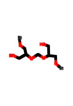 CCOCC(CO)OCOC(CO)COCC